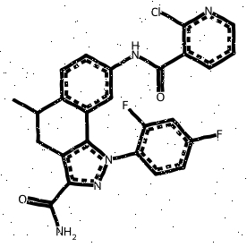 CC1Cc2c(C(N)=O)nn(-c3ccc(F)cc3F)c2-c2cc(NC(=O)c3cccnc3Cl)ccc21